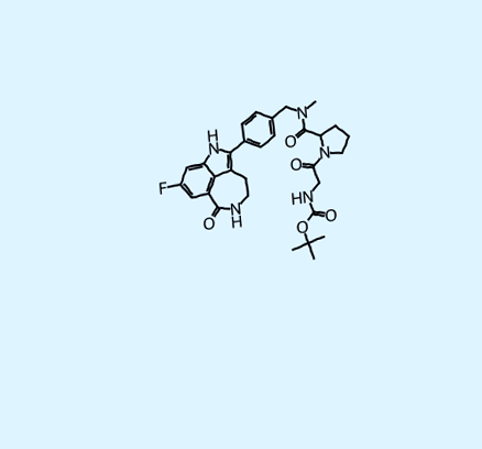 CN(Cc1ccc(-c2[nH]c3cc(F)cc4c3c2CCNC4=O)cc1)C(=O)C1CCCN1C(=O)CNC(=O)OC(C)(C)C